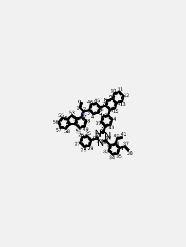 C=C/C(c1ccc(-c2cc3ccccc3cc2-c2ccc(-c3nc(-c4ccccc4)nc(-c4cccc(C=C)c4C=C)n3)cc2)cc1)=c1/cccc2c1=Cc1ccccc1-2